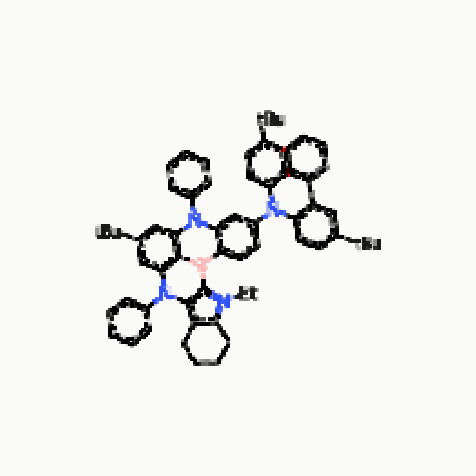 CCn1c2c(c3c1B1c4ccc(N(c5ccc(C(C)(C)C)cc5)c5ccc(C(C)(C)C)cc5-c5ccccc5)cc4N(c4ccccc4)c4cc(C(C)(C)C)cc(c41)N3c1ccccc1)CCCC2